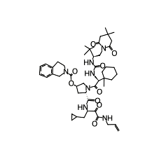 C=CCNC(=O)C(=O)C(CC1CC1)NC(=O)[C@@H]1C[C@@H](OC(=O)N2CCc3ccccc3C2)CN1C(=O)[C@@H](NC(=O)N[C@H](CN1C(=O)CC(C)(C)CC1=O)C(C)(C)C)C1(C)CCCCC1